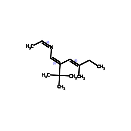 C\C=N/C=C(\C=C(/C)CC)C(C)(C)C